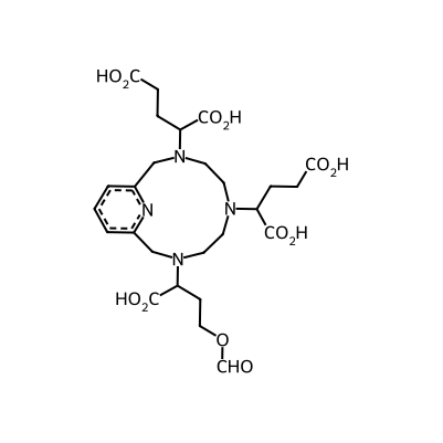 O=COCCC(C(=O)O)N1CCN(C(CCC(=O)O)C(=O)O)CCN(C(CCC(=O)O)C(=O)O)Cc2cccc(n2)C1